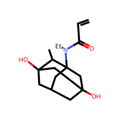 C=CC(=O)N(CC)C12CC3CC(O)(CC(O)(C3)C1C)C2